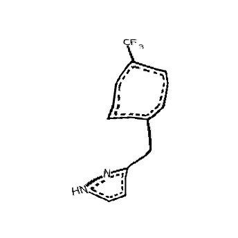 FC(F)(F)c1ccc(Cc2cc[nH]n2)cc1